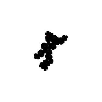 CC(C)(C)c1ccc(-n2c3cccc4c3-n(c3ccc5c(c6cc(C(C)(C)C)cc7c8cc(C(C)(C)C)ccc8n5c76)c32)c2sc3cc5c(cc3c2n4-c2ccc(C(C)(C)C)cc2)-c2cc3c(cc2C5(C)C)C(C)(C)CC3(C)C)cc1